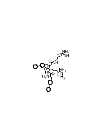 N=C(N)NCCCCNC(=O)CN(Cc1ccc(-c2ccccc2)cc1)C(=O)[C@H](CCCNC(N)N)NC(=O)[C@@H](N)Cc1ccc(-c2ccccc2)cc1